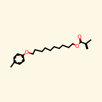 C=C(C)C(=O)OCCCCCCCCCCOc1ccc(C)cc1